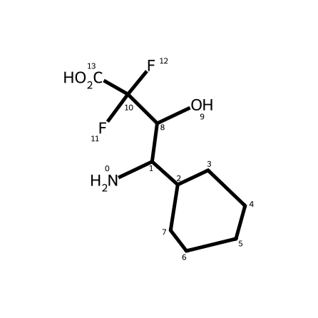 NC(C1CCCCC1)C(O)C(F)(F)C(=O)O